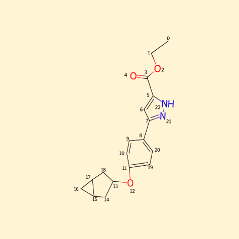 CCOC(=O)c1cc(-c2ccc(OC3CC4CC4C3)cc2)n[nH]1